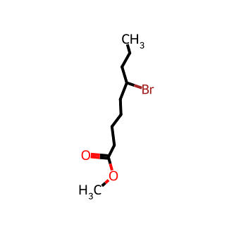 CCCC(Br)CCCCC(=O)OC